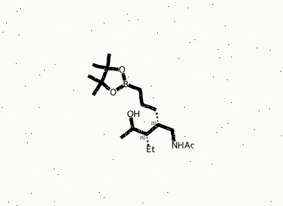 CC[C@H](C(C)O)[C@H](CCCB1OC(C)(C)C(C)(C)O1)CNC(C)=O